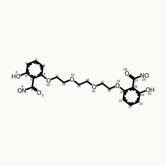 O=NC(=O)c1c(O)cccc1OCCOCCOCCOc1cccc(O)c1C(=O)N=O